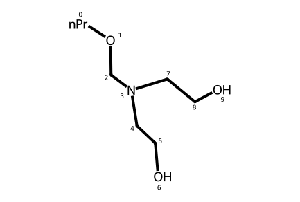 CCCOCN(CCO)CCO